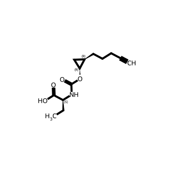 C#CCCC[C@@H]1C[C@H]1OC(=O)N[C@@H](CC)C(=O)O